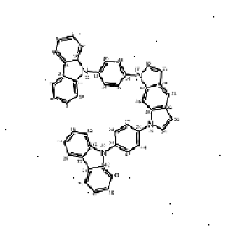 c1ccc2c(c1)c1ccccc1n2-c1ccc(-n2ccc3cc4ccn(-c5ccc(-n6c7ccccc7c7ccccc76)cc5)c4cc32)cc1